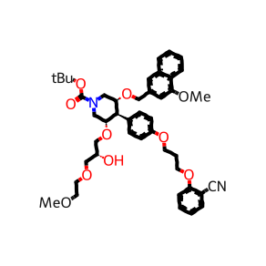 COCCOC[C@@H](O)CO[C@@H]1CN(C(=O)OC(C)(C)C)C[C@H](OCc2cc(OC)c3ccccc3c2)[C@H]1c1ccc(OCCCOc2ccccc2C#N)cc1